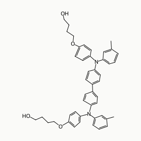 Cc1cccc(N(c2ccc(OCCCCO)cc2)c2ccc(-c3ccc(N(c4ccc(OCCCCO)cc4)c4cccc(C)c4)cc3)cc2)c1